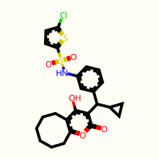 O=c1oc2c(c(O)c1C(c1cccc(NS(=O)(=O)c3ccc(Cl)s3)c1)C1CC1)CCCCCC2